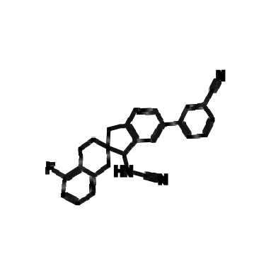 N#CNC1c2cc(-c3cccc(C#N)c3)ccc2CC12CCc1c(F)cccc1C2